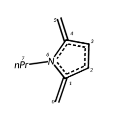 C=c1ccc(=C)n1CCC